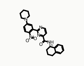 O=C(N[C@H]1CCCc2ccccc21)c1ccnc(-c2cc(N3CCCCC3)ccc2[N+](=O)[O-])n1